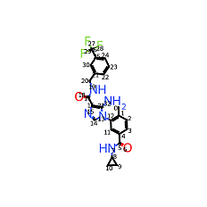 Cc1ccc(C(=O)NC2CC2)cc1-n1cnc(C(=O)NCc2cccc(C(F)(F)F)c2)c1N